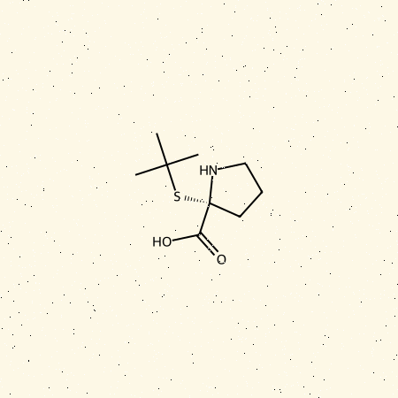 CC(C)(C)S[C@@]1(C(=O)O)CCCN1